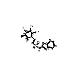 O=S(=O)(C=Cc1c(F)c(F)c(F)c(F)c1F)Nc1nc2ccccc2s1